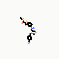 CCOC(=O)c1cc2cc(NCc3cncn3Cc3ccc(C#N)cc3)ccc2s1